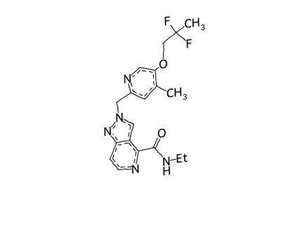 CCNC(=O)c1nccc2nn(Cc3cc(C)c(OCC(C)(F)F)cn3)cc12